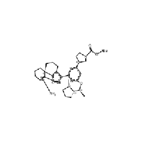 C[C@H](Oc1cc([C@H]2CCN(C(=O)OC(C)(C)C)C2)nc(-c2noc3c2CCC[C@@]32CCCc3sc(N)c(C#N)c32)n1)[C@@H]1CCCN1C